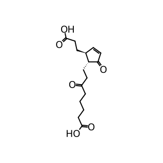 O=C(O)CCCCC(=O)CC[C@H]1C(=O)C=C[C@@H]1CCC(=O)O